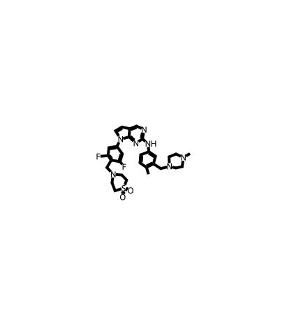 Cc1ccc(Nc2ncc3ccn(-c4cc(F)c(CN5CCS(=O)(=O)CC5)c(F)c4)c3n2)cc1CN1CCN(C)CC1